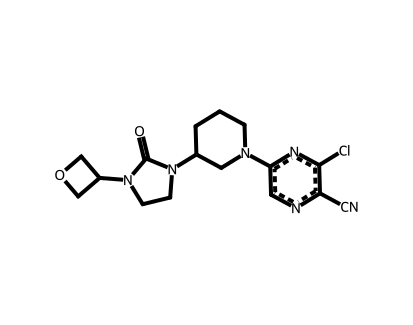 N#Cc1ncc(N2CCCC(N3CCN(C4COC4)C3=O)C2)nc1Cl